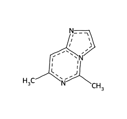 Cc1cc2nccn2c(C)n1